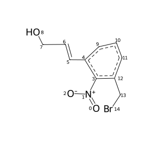 O=[N+]([O-])c1c(/C=C/CO)cccc1CBr